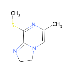 CSC1=NC(C)=CN2CCN=C12